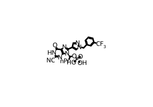 CCCC(OP(=O)(O)O)n1c(-c2cnn(Cc3cccc(C(F)(F)F)c3)c2)nc2c(=O)[nH]c(C#N)nc21